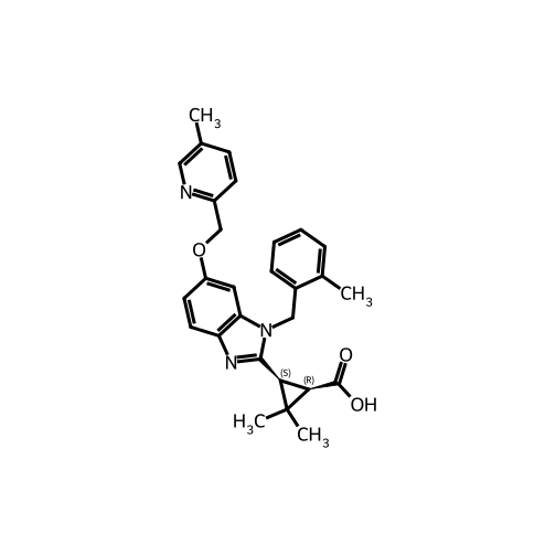 Cc1ccc(COc2ccc3nc([C@H]4[C@@H](C(=O)O)C4(C)C)n(Cc4ccccc4C)c3c2)nc1